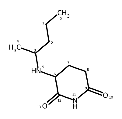 CCCC(C)NC1CCC(=O)NC1=O